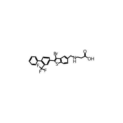 O=C(O)CCNCc1ccc2sc(-c3ccc(-c4ccccc4)c(C(F)(F)F)c3)c(Br)c2c1